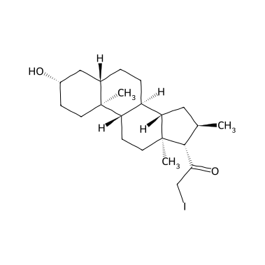 C[C@@H]1C[C@H]2[C@@H]3CC[C@H]4C[C@@H](O)CC[C@]4(C)[C@H]3CC[C@]2(C)[C@H]1C(=O)CI